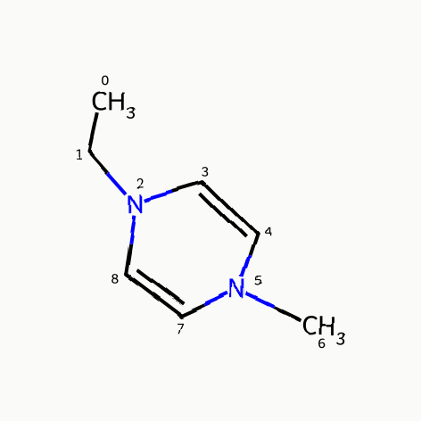 CCN1C=CN(C)C=C1